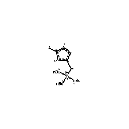 CCCC[PH](CCCC)(CCCC)Cc1csc(C)n1